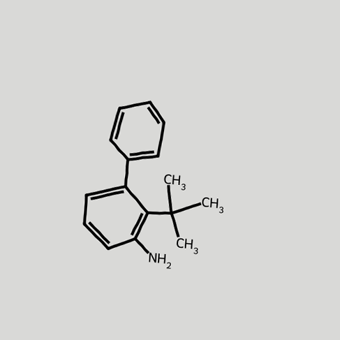 CC(C)(C)c1c(N)cccc1-c1ccccc1